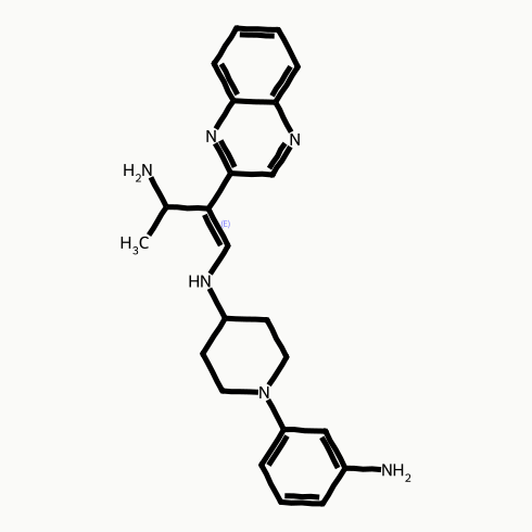 CC(N)/C(=C\NC1CCN(c2cccc(N)c2)CC1)c1cnc2ccccc2n1